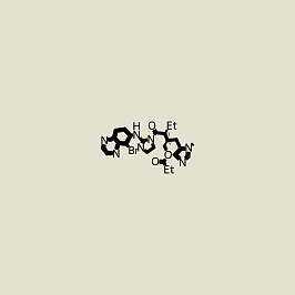 CCC(=O)OC[C@H](Cc1cncn1C)[C@H](CC)C(=O)N1CCN=C1Nc1ccc2nccnc2c1Br